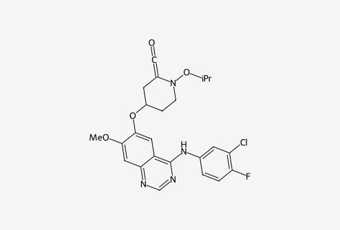 COc1cc2ncnc(Nc3ccc(F)c(Cl)c3)c2cc1OC1CCN(OC(C)C)C(=C=O)C1